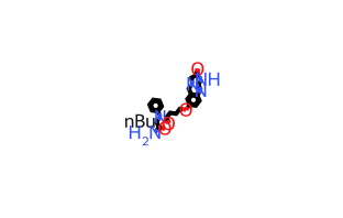 CCCCC(C(N)=O)N(C(=O)CCCOc1ccc2c(c1)CN1CC(=O)NC1=N2)c1ccccc1